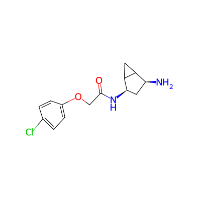 N[C@H]1C[C@@H](NC(=O)COc2ccc(Cl)cc2)C2CC21